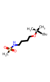 CC(C)(C)[Si](C)(C)OCCCCNS(C)(=O)=O